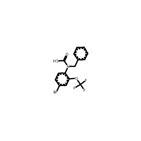 O=C(O)N(Cc1ccccc1)c1ccc(Br)cc1OC(F)(F)F